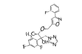 C[C@@H](OCc1cc(-c2ccccc2F)no1)[C@](O)(Cn1cncn1)c1ccc(F)cc1F